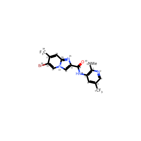 CNc1ncc(C(F)(F)F)cc1NC(=O)c1cn2cc(Br)c(C(F)(F)F)cc2n1